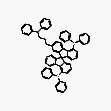 c1ccc(C(CCCc2ccc3c(c2)C2(c4ccccc4-c4c(N(c5ccccc5)c5ccccc5)cccc42)c2cccc(N(c4ccccc4)c4ccccc4)c2-3)c2ccccc2)cc1